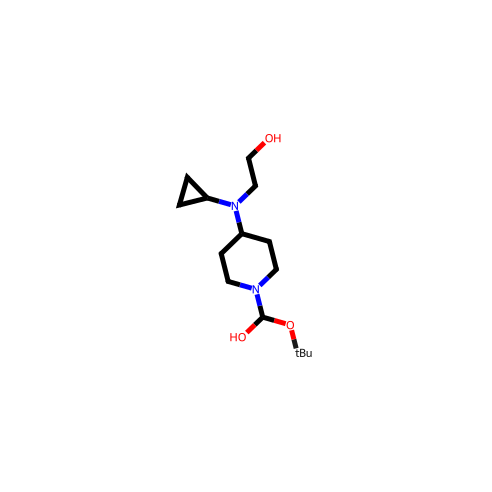 CC(C)(C)OC(O)N1CCC(N(CCO)C2CC2)CC1